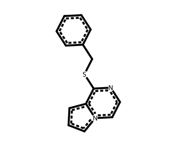 c1ccc(CSc2nccn3cccc23)cc1